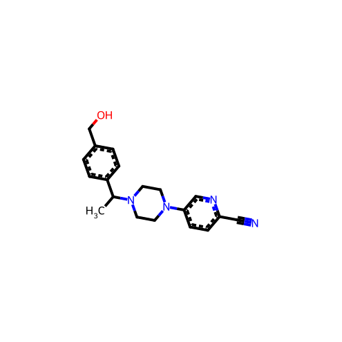 CC(c1ccc(CO)cc1)N1CCN(c2ccc(C#N)nc2)CC1